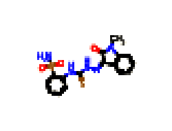 CN1C(=O)C(=NNC(=S)Nc2ccccc2S(N)(=O)=O)c2ccccc21